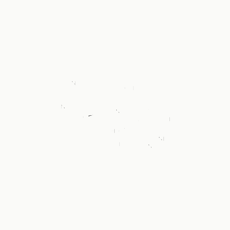 Cc1n[nH]c(C)c1S(=O)(=O)CN1[C@@H](CO)C[C@H](Oc2cnccn2)C[C@H]1C